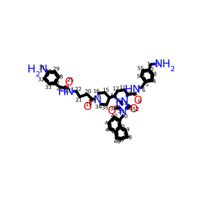 NCc1ccc(CNC(=O)C2CCC(C3CCN(C(=O)CCCNC(=O)Cc4ccc(N)cc4)CC3)n3c(=O)n(Cc4cccc5ccccc45)c(=O)n32)cc1